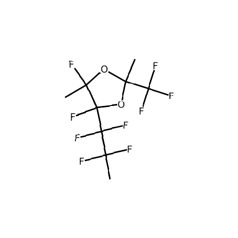 CC(F)(F)C(F)(F)C1(F)OC(C)(C(F)(F)F)OC1(C)F